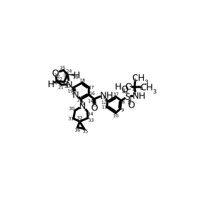 CC(C)(C)NS(=O)(=O)c1cccc(NC(=O)c2ccc(N3C[C@H]4C[C@@H]3CO4)nc2N2CCC3(CC2)CC3)c1